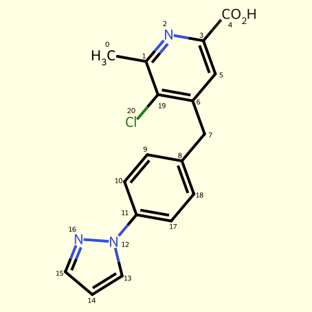 Cc1nc(C(=O)O)cc(Cc2ccc(-n3cccn3)cc2)c1Cl